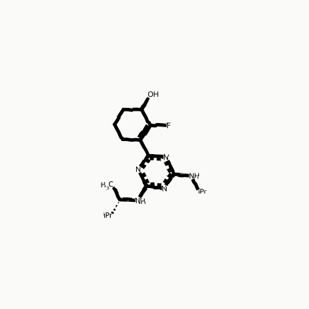 CC(C)Nc1nc(N[C@@H](C)C(C)C)nc(C2=C(F)C(O)CCC2)n1